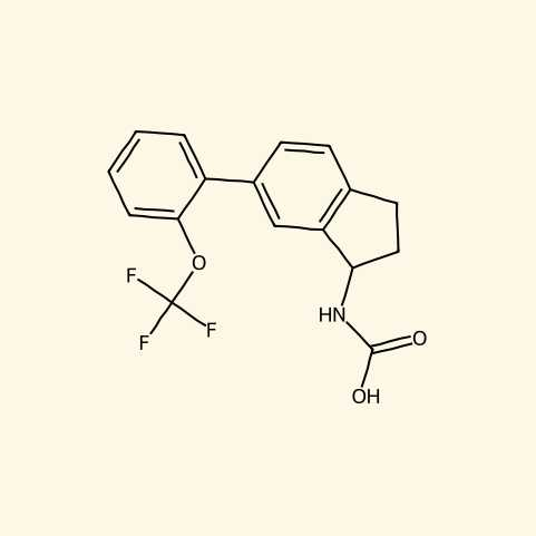 O=C(O)NC1CCc2ccc(-c3ccccc3OC(F)(F)F)cc21